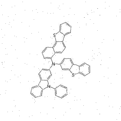 c1ccc(-n2c3ccccc3c3ccc(N(c4ccc5c(c4)sc4ccccc45)c4cccc5c4ccc4c6ccccc6sc54)cc32)cc1